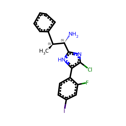 C[C@@H](c1ccccc1)[C@H](N)c1nc(Cl)c(-c2ccc(I)cc2F)[nH]1